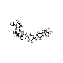 CN(c1ccc(CCN(C[C@H](O)c2cccc(Cl)c2)C(=O)O)cc1)c1ccc(O[Si](C)(C)C(C)(C)C)cc1